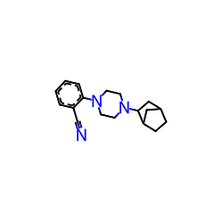 N#Cc1ccccc1N1CCN(C2CC3CCC2C3)CC1